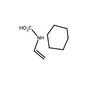 C1CCCCC1.C=CNC(=O)O